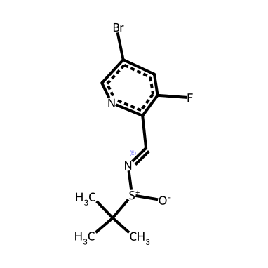 CC(C)(C)[S+]([O-])/N=C/c1ncc(Br)cc1F